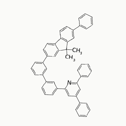 CC1(C)c2cc(-c3ccccc3)ccc2-c2ccc(-c3cccc(-c4cccc(-c5cc(-c6ccccc6)cc(-c6ccccc6)n5)c4)c3)cc21